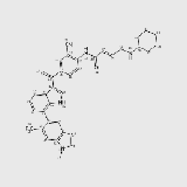 Cn1cnc2cc(-c3cccc4c(C(=O)c5ccc(NC(=O)/C=C/CNC6CCCCC6)c(C#N)c5)c[nH]c34)c(C(F)(F)F)cc21